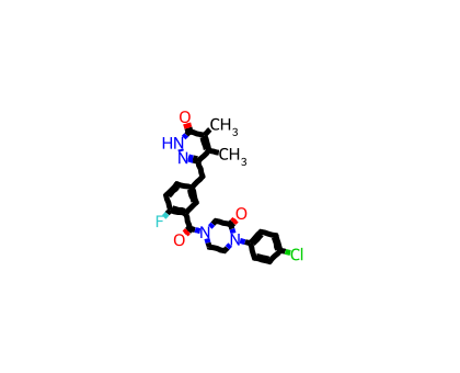 Cc1c(Cc2ccc(F)c(C(=O)N3CCN(c4ccc(Cl)cc4)C(=O)C3)c2)n[nH]c(=O)c1C